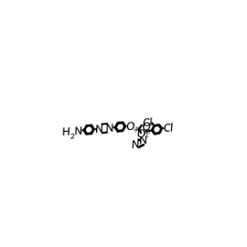 Nc1ccc(N2CCN(c3ccc(OC[C@@H]4CO[C@@](Cn5ccnc5)(c5ccc(Cl)cc5Cl)O4)cc3)CC2)cc1